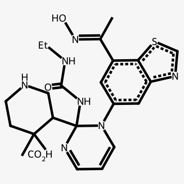 CCNC(=O)NC1(C2CNCCC2(C)C(=O)O)N=CC=CN1c1cc(/C(C)=N/O)c2scnc2c1